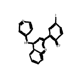 Fc1ccc(Cl)c(-c2cc(Nc3ccncc3)c3ccccc3n2)c1